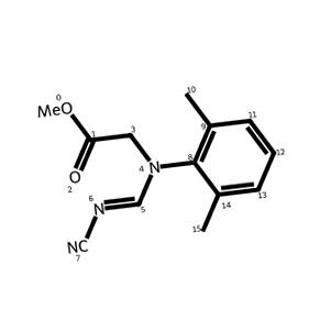 COC(=O)CN(C=NC#N)c1c(C)cccc1C